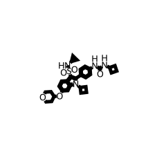 O=C(Nc1ccc(-c2c(S(=O)(=O)NC3CC3)c3ccc(OC4CCOCC4)cc3n2C2CCC2)cc1)NC1CCC1